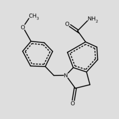 COc1ccc(CN2C(=O)Cc3ccc(C(N)=O)cc32)cc1